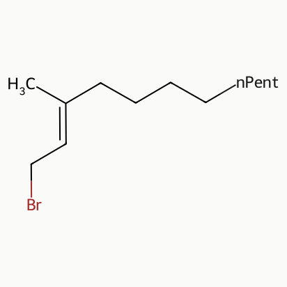 CCCCCCCCCC(C)=CCBr